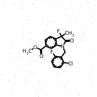 COC(=O)c1ccc2c(c1)N(Cc1c(F)cccc1Cl)C(=O)C2(C)F